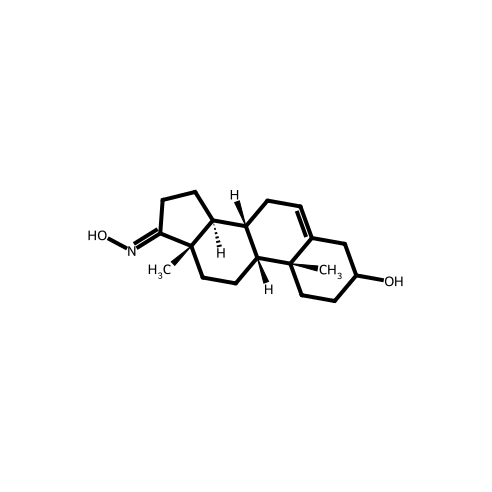 C[C@]12CCC(O)CC1=CC[C@@H]1[C@H]2CC[C@]2(C)C(=NO)CC[C@@H]12